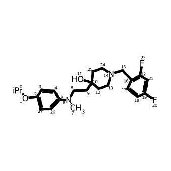 CC(C)Oc1ccc(N(C)CCC2(O)CCN(Cc3ccc(F)cc3F)CC2)cc1